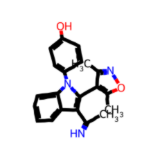 CC(=N)c1c(-c2c(C)noc2C)n(-c2ccc(O)cc2)c2ccccc12